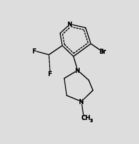 CN1CCN(c2c(Br)cncc2C(F)F)CC1